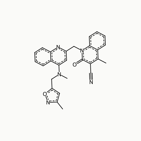 Cc1cc(CN(C)c2cc(Cn3c(=O)c(C#N)c(C)c4ccccc43)nc3ccccc23)on1